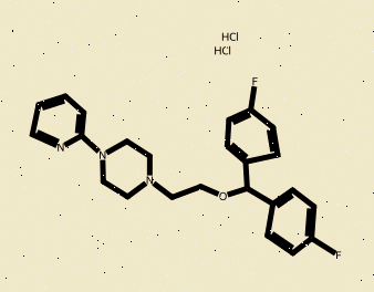 Cl.Cl.Fc1ccc(C(OCCN2CCN(c3ccccn3)CC2)c2ccc(F)cc2)cc1